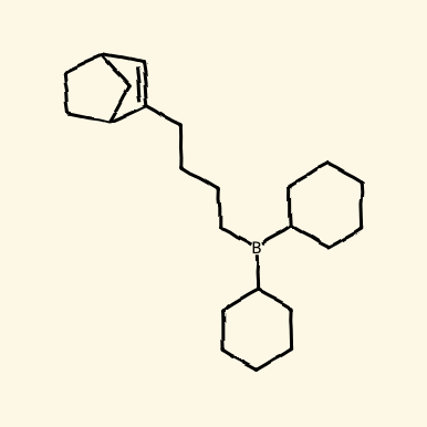 C1=C(CCCCB(C2CCCCC2)C2CCCCC2)C2CCC1C2